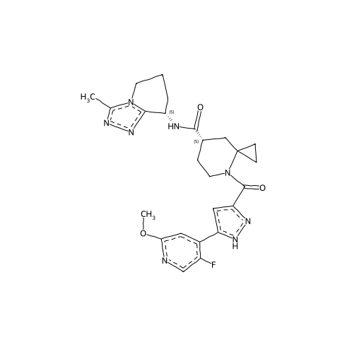 COc1cc(-c2cc(C(=O)N3CC[C@H](C(=O)N[C@H]4CCCn5c(C)nnc54)CC34CC4)n[nH]2)c(F)cn1